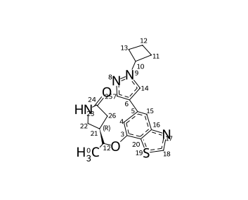 CC(Oc1cc(-c2cnn(C3CCC3)c2)cc2ncsc12)[C@H]1CNC(=O)C1